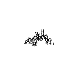 CC(C)(C)OC(=O)N1CC[C@@H](NC(=O)c2cnc3ccc(N4CCC[C@@H]4c4cccc(F)c4)nn23)C1